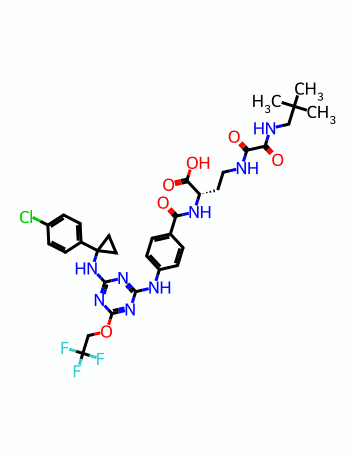 CC(C)(C)CNC(=O)C(=O)NCC[C@H](NC(=O)c1ccc(Nc2nc(NC3(c4ccc(Cl)cc4)CC3)nc(OCC(F)(F)F)n2)cc1)C(=O)O